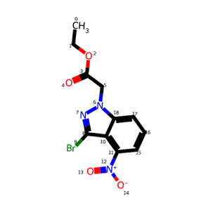 CCOC(=O)Cn1nc(Br)c2c([N+](=O)[O-])cccc21